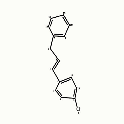 Clc1ccc(/C=C/Cc2ccccc2)cc1